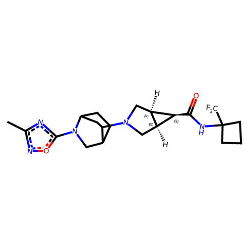 Cc1noc(N2CC3CCC2CC3N2C[C@@H]3[C@H](C2)[C@@H]3C(=O)NC2(C(F)(F)F)CCC2)n1